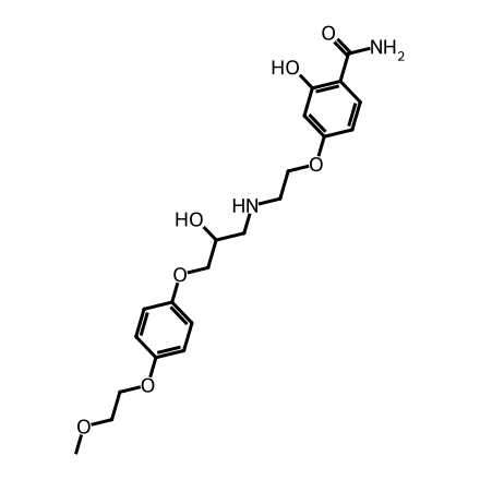 COCCOc1ccc(OCC(O)CNCCOc2ccc(C(N)=O)c(O)c2)cc1